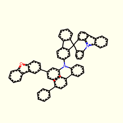 c1ccc(-c2ccc(-c3ccccc3N(c3cccc(-c4ccc5oc6ccccc6c5c4)c3)c3ccc4c(c3)C3(c5ccccc5-4)c4ccccc4-n4c5ccccc5c5cccc3c54)cc2)cc1